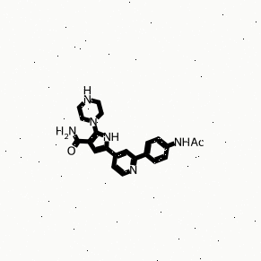 CC(=O)Nc1ccc(-c2cc(-c3cc(C(N)=O)c(N4CCNCC4)[nH]3)ccn2)cc1